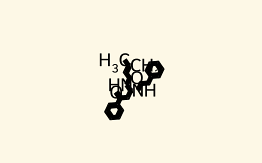 CC(C)=CC(=O)NC(CC(=O)c1ccccc1)NCCc1ccccc1